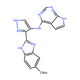 COc1ccc2[nH]c(-c3n[nH]cc3Nc3ncnc4[nH]ccc34)nc2c1